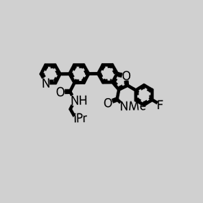 CNC(=O)c1c(-c2ccc(F)cc2)oc2ccc(-c3ccc(-c4cccnc4)c(C(=O)NCC(C)C)c3)cc12